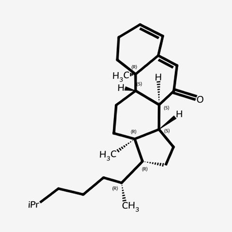 CC(C)CCC[C@@H](C)[C@H]1CC[C@H]2[C@@H]3C(=O)C=C4C=CCC[C@]4(C)[C@H]3CC[C@]12C